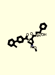 CO/N=C1\CC(C(=O)NC[C@@H](O)c2ccccc2)N(C(=O)c2ccc(-c3ccccc3C)cc2)C1